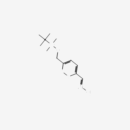 CC(C)(C)[Si](C)(C)OCC1=CC=C(C=NO)SS1